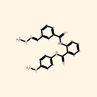 COc1ccc(NC(=O)c2ccccc2NC(=O)c2cccc(C=NON)c2)cc1